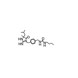 CCCCNC(=O)NCc1ccc(CN2C(=N)NC(C)(CC(C)C)C2=O)cc1